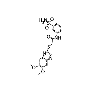 COc1cc2ncc(SCC(=O)Nc3cccc(S(N)(=O)=O)c3)nc2cc1OC